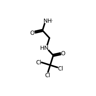 [NH]C(=O)CNC(=O)C(Cl)(Cl)Cl